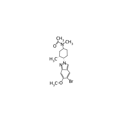 COc1cc2nn([C@H]3CCC(N(C)C(C)=O)C[C@H]3C)cc2cc1Br